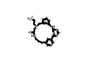 C=CCN1CC(=O)NCCCc2cncc(c2)-c2ncnc(n2)Nc2cccc(c2)C1